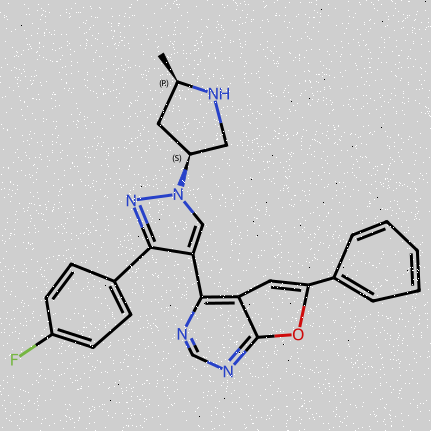 C[C@@H]1C[C@H](n2cc(-c3ncnc4oc(-c5ccccc5)cc34)c(-c3ccc(F)cc3)n2)CN1